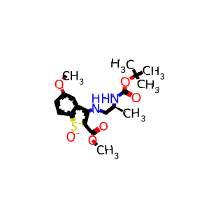 COC(=O)c1c(NC[C@H](C)NC(=O)OC(C)(C)C)c2cc(OC)ccc2[s+]1[O-]